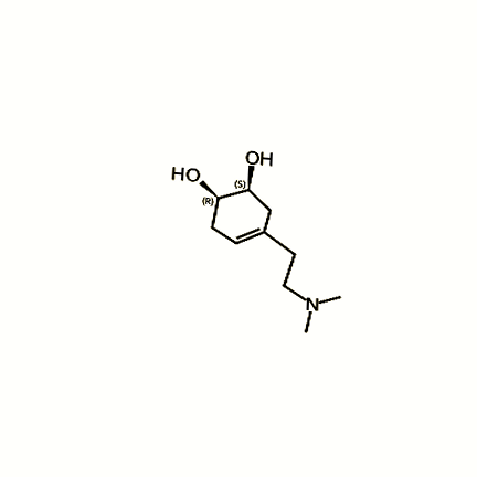 CN(C)CCC1=CC[C@@H](O)[C@@H](O)C1